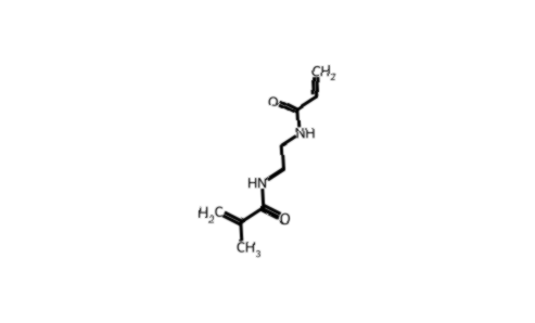 C=CC(=O)NCCNC(=O)C(=C)C